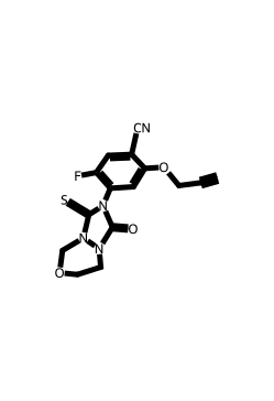 C#CCOc1cc(-n2c(=O)n3n(c2=S)COCC3)c(F)cc1C#N